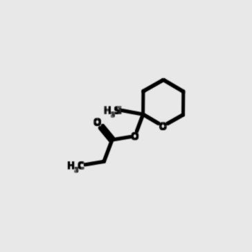 CCC(=O)OC1([SiH3])CCCCO1